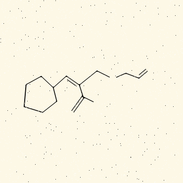 C=CCOCC(=CC1CCCCC1)C(=O)O